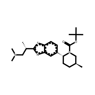 C[C@H]1CC[C@H](c2ccc3sc([C@@H](C)CN(C)C)nc3c2)N(C(=O)OC(C)(C)C)C1